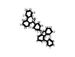 c1ccc(-c2cccc3c2c2ccccc2n3-c2ccc(-c3nc4ccccc4c4ccccc34)cc2)cc1